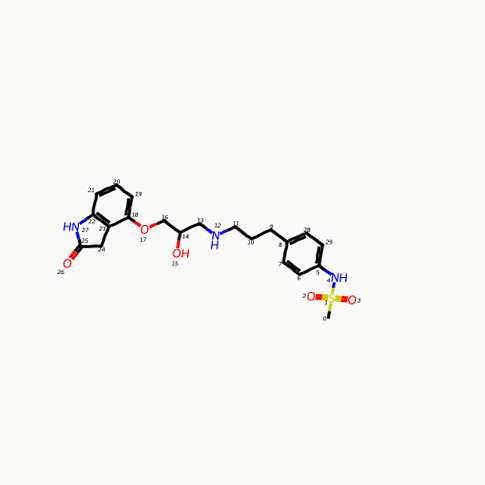 CS(=O)(=O)Nc1ccc(CCCNCC(O)COc2cccc3c2CC(=O)N3)cc1